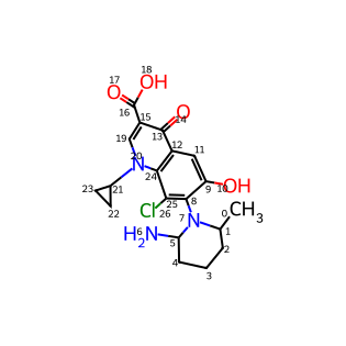 CC1CCCC(N)N1c1c(O)cc2c(=O)c(C(=O)O)cn(C3CC3)c2c1Cl